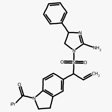 C=CC(c1ccc2c(c1)CCN2C(=O)C(C)C)S(=O)(=O)N1CC(c2ccccc2)N=C1N